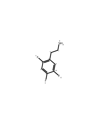 Fc1cc(F)c(CC[SiH3])cc1F